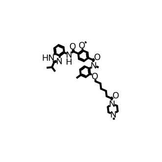 COc1cc(C(=O)N(C)c2ccc(C)cc2OCCCCCC(=O)N2CCN(C)CC2)ccc1C(=O)Nc1cccc2[nH]c(C(C)C)nc12